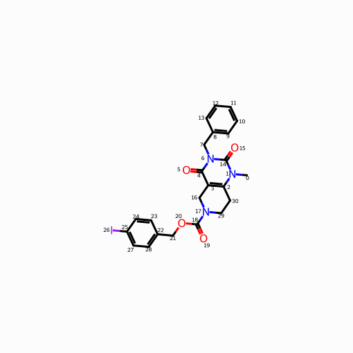 Cn1c2c(c(=O)n(Cc3ccccc3)c1=O)CN(C(=O)OCc1ccc(I)cc1)CC2